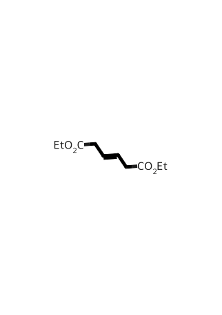 CCOC(=O)CC=CCC(=O)OCC